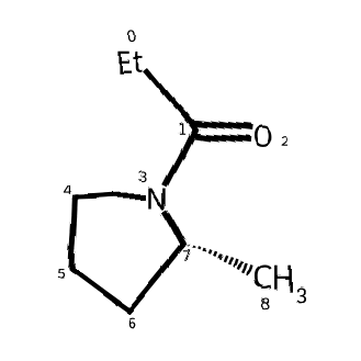 CCC(=O)N1CCC[C@H]1C